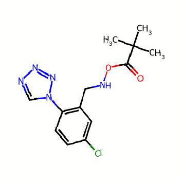 CC(C)(C)C(=O)ONCc1cc(Cl)ccc1-n1cnnn1